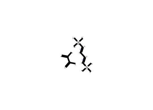 C=C(C)C(=C)C.C[Si](C)(C)/C=C/C=C/[Si](C)(C)C